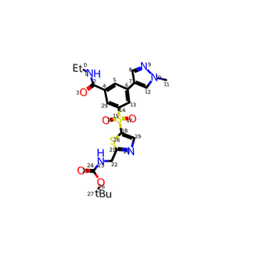 CCNC(=O)c1cc(-c2cnn(C)c2)cc(S(=O)(=O)c2cnc(CNC(=O)OC(C)(C)C)s2)c1